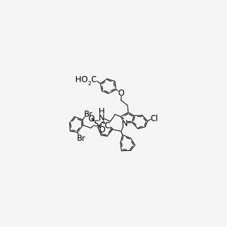 O=C(O)c1ccc(OCCc2c(CCNS(=O)(=O)Cc3c(Br)cccc3Br)n(C(c3ccccc3)c3ccccc3)c3ccc(Cl)cc23)cc1